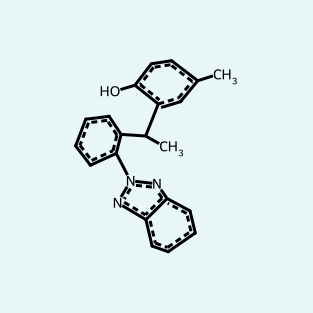 Cc1ccc(O)c(C(C)c2ccccc2-n2nc3ccccc3n2)c1